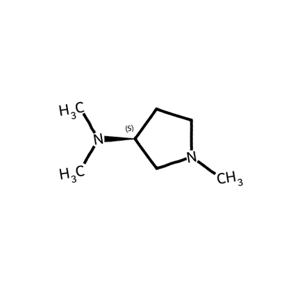 CN1CC[C@H](N(C)C)C1